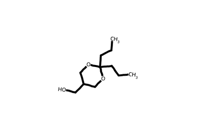 CCCC1(CCC)OCC(CO)CO1